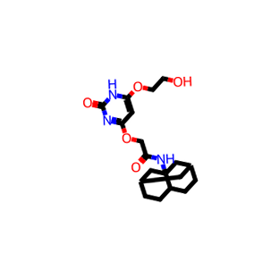 O=C(COc1cc(OCCO)[nH]c(=O)n1)NC12CC3CCC1CCC(C3)C2